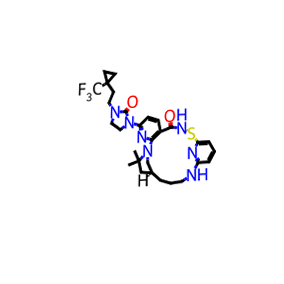 CC1(C)C[C@@H]2CCCNc3cccc(n3)SNC(=O)c3ccc(N4CCN(CCC5(C(F)(F)F)CC5)C4=O)nc3N1C2